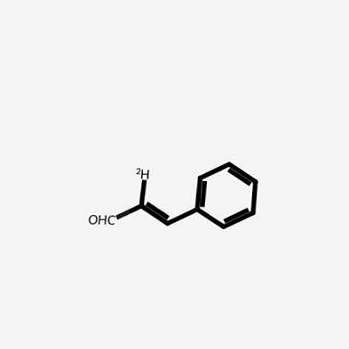 [2H]C(C=O)=Cc1ccccc1